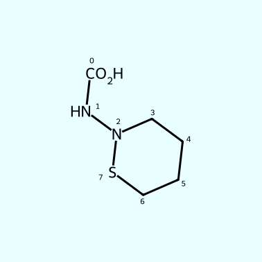 O=C(O)NN1CCCCS1